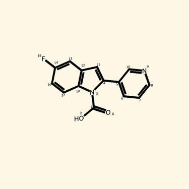 O=C(O)n1c(-c2cccnc2)cc2cc(F)ccc21